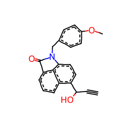 C#CC(O)c1ccc2c3c(cccc13)C(=O)N2Cc1ccc(OC)cc1